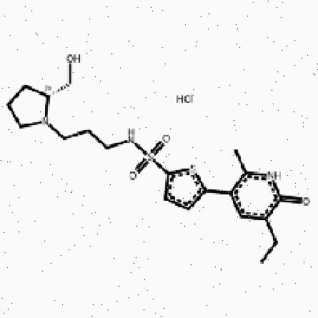 CCc1cc(-c2ccc(S(=O)(=O)NCCCN3CCC[C@@H]3CO)s2)c(C)[nH]c1=O.Cl